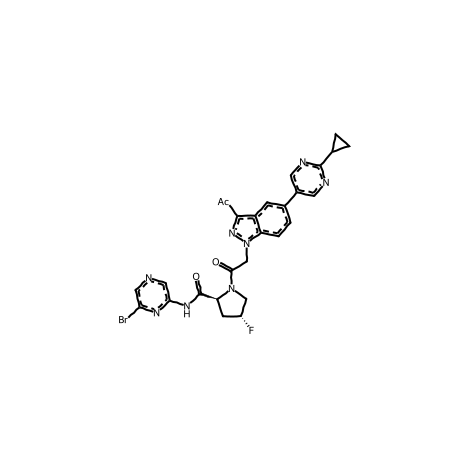 CC(=O)c1nn(CC(=O)N2C[C@H](F)C[C@H]2C(=O)Nc2cncc(Br)n2)c2ccc(-c3cnc(C4CC4)nc3)cc12